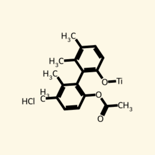 CC(=O)Oc1ccc(C)c(C)c1-c1c([O][Ti])ccc(C)c1C.Cl